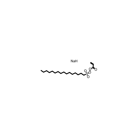 C=CC(=O)OOS(=O)(=O)CCCCCCCCCCCCCCCC.[NaH]